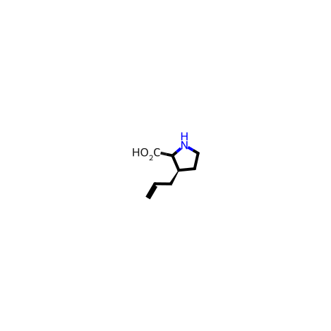 C=CC[C@@H]1CCNC1C(=O)O